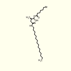 C=C(CC(=S)NCCCCCCCCCCCCCCCC)C(O)OC(=O)CCCCCBr